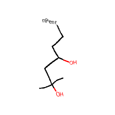 CCCCCCCC(O)CC(C)(C)O